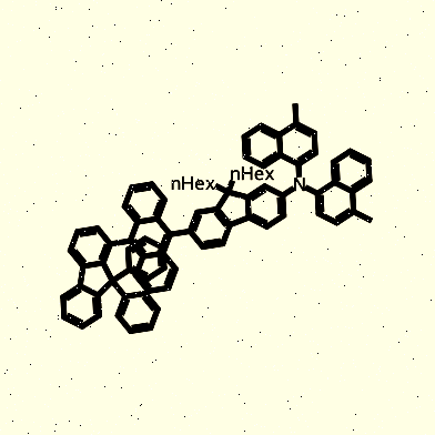 CCCCCCC1(CCCCCC)c2cc(-c3c4ccccc4c(-c4cccc5c4C(c4ccccc4)(c4ccccc4)c4ccccc4-5)c4ccccc34)ccc2-c2ccc(N(c3ccc(C)c4ccccc34)c3ccc(C)c4ccccc34)cc21